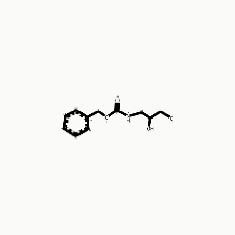 O=C(NCC(O)CCl)OCc1ccccc1